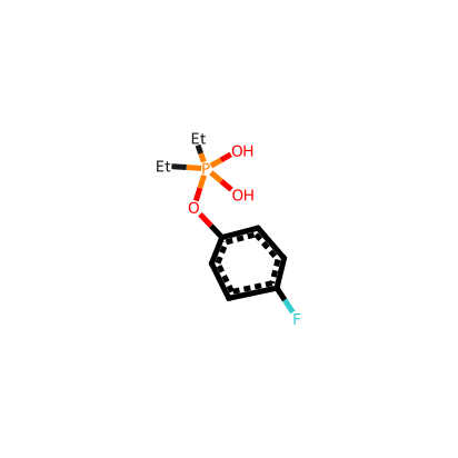 CCP(O)(O)(CC)Oc1ccc(F)cc1